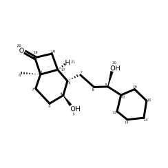 C[C@@]12CC[C@H](O)[C@@H](CC[C@@H](O)C3CCCCC3)[C@@H]1CC2=O